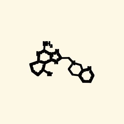 Nc1nc2cccc(Br)c2c2nc(CN3CCc4cccnc4C3)nn12